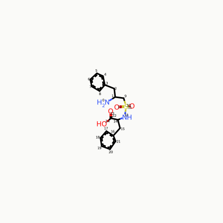 NC(Cc1ccccc1)CS(=O)(=O)NC(Cc1ccccc1)C(=O)O